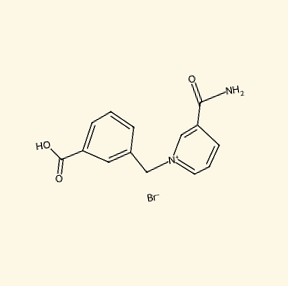 NC(=O)c1ccc[n+](Cc2cccc(C(=O)O)c2)c1.[Br-]